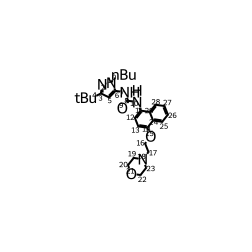 CCCCn1nc(C(C)(C)C)cc1NC(=O)Nc1ccc(OCCN2CCOCC2)c2ccccc12